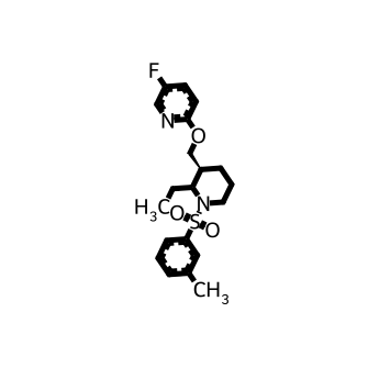 CCC1[C@@H](COc2ccc(F)cn2)CCCN1S(=O)(=O)c1cccc(C)c1